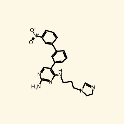 Nc1ncc(-c2cccc(-c3cccc([N+](=O)[O-])c3)c2)c(NCCCN2C=NCC2)n1